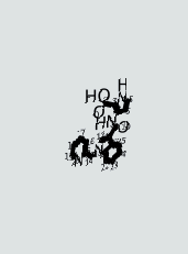 O=C(O)c1[nH]ccc1NC(=O)c1cn(Cc2ccccn2)c2ccccc12